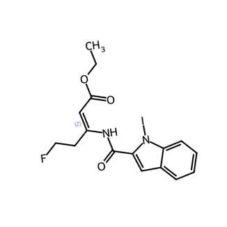 CCOC(=O)/C=C(/CCF)NC(=O)c1cc2ccccc2n1I